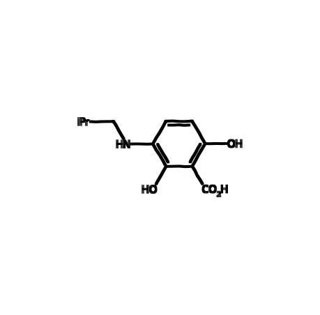 CC(C)CNc1ccc(O)c(C(=O)O)c1O